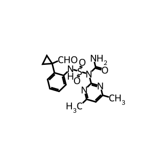 Cc1cc(C)nc(N(C(N)=O)S(=O)(=O)Nc2ccccc2C2(C=O)CC2)n1